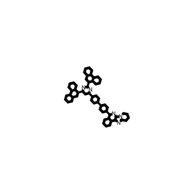 c1ccc2c(c1)cc(-c1cc(-c3ccc(-c4ccc(-c5nc6c(nc7ccccn76)c6ccccc56)cc4)cc3)nc(-c3cc4ccccc4c4ccccc34)n1)c1ccccc12